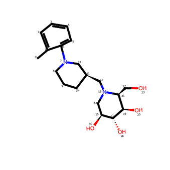 Cc1ccccc1N1CCC[C@H](CN2C[C@H](O)[C@@H](O)[C@H](O)[C@@H]2CO)C1